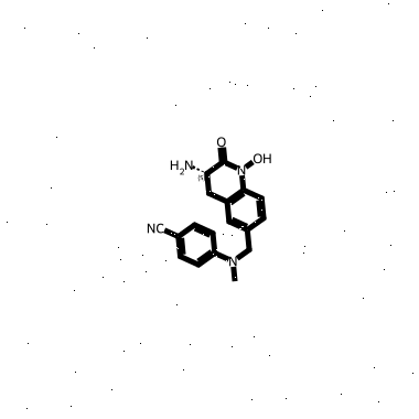 CN(Cc1ccc2c(c1)C[C@H](N)C(=O)N2O)c1ccc(C#N)cc1